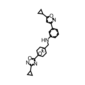 c1cc(NCC23CCC(c4nc(C5CC5)no4)(CC2)OC3)cc(-c2cc(C3CC3)on2)c1